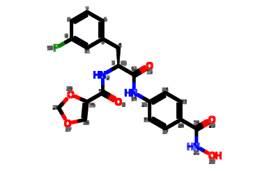 O=C(N[C@@H](Cc1cccc(F)c1)C(=O)Nc1ccc(C(=O)NO)cc1)C1=COCO1